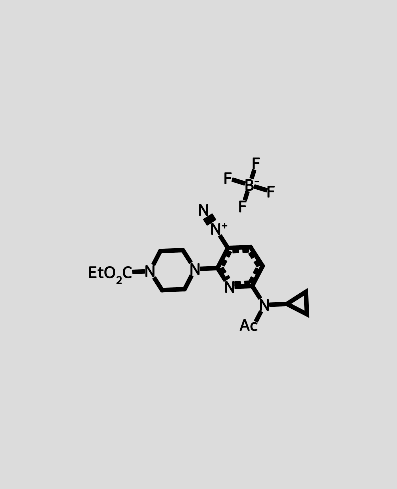 CCOC(=O)N1CCN(c2nc(N(C(C)=O)C3CC3)ccc2[N+]#N)CC1.F[B-](F)(F)F